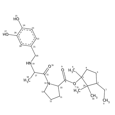 CCC1CCC(C)(OC(=O)C2CCCN2C(=O)C(C)NCc2ccc(O)c(O)c2)C1(C)C